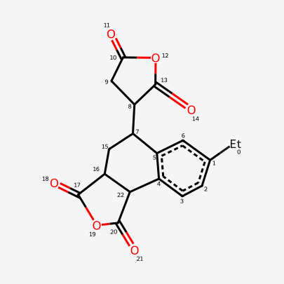 CCc1ccc2c(c1)C(C1CC(=O)OC1=O)CC1C(=O)OC(=O)C21